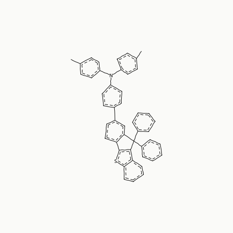 Cc1ccc(N(c2ccc(C)cc2)c2ccc(-c3ccc4c(c3)C(c3ccccc3)(c3ccccc3)c3c-4sc4ccccc34)cc2)cc1